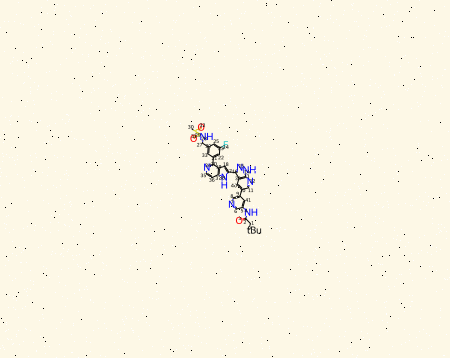 CC(C)(C)CC(=O)Nc1cncc(-c2cnc3[nH]nc(-c4cc5c(-c6cc(F)cc(CNS(C)(=O)=O)c6)nccc5[nH]4)c3c2)c1